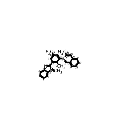 Cc1c(-c2nc3ccccc3n2C)cc(C(F)(F)F)cc1-[n+]1cc2ccccc2cc1C